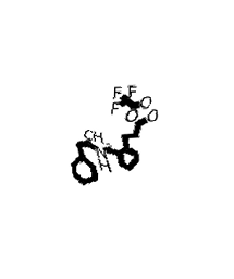 CC(CC1CCCCC1)NCc1ccccc1CCC(=O)OC(=O)C(F)(F)F